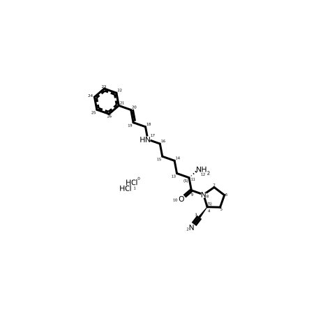 Cl.Cl.N#C[C@@H]1CCCN1C(=O)[C@@H](N)CCCCNCC=Cc1ccccc1